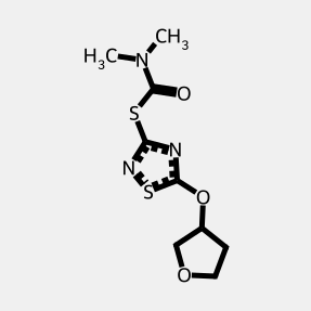 CN(C)C(=O)Sc1nsc(OC2CCOC2)n1